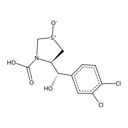 O=C(O)N1C[S+]([O-])C[C@H]1[C@@H](O)c1ccc(Cl)c(Cl)c1